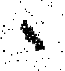 Cc1ccc(Cl)cc1NC(=O)Nc1cccc2c1ccn2Cc1ccnc2[nH]ccc12